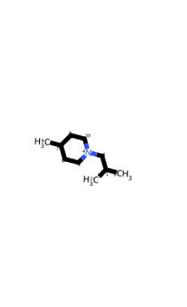 C[C](C)CN1CCC(C)CC1